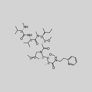 CCC(C)[C@@H]([C@@H](CC(=O)N1C[C@H](OC)C[C@H]1[C@H](OC)[C@@H](C)C(=O)NCCc1ccccn1)OC)N(C)C(=O)[C@@H](NC(=O)[C@@H](NC)C(C)C)C(C)C